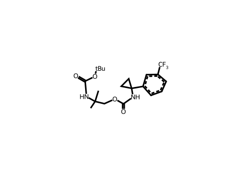 CC(C)(COC(=O)NC1(c2cccc(C(F)(F)F)c2)CC1)NC(=O)OC(C)(C)C